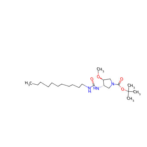 CCCCCCCCCCCNC(=O)N[C@H]1CN(C(=O)OC(C)(C)C)C[C@@H]1OC